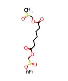 CCCOS(=O)COC(=O)CCCCCC(=O)OC[S+](C)[O-]